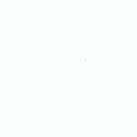 CN(C)CCN1CCC(n2cc(C(=O)O)c(=O)c3cc(Cl)c(N4CCC[C@@H]4COc4ncccc4Cl)cc32)C1